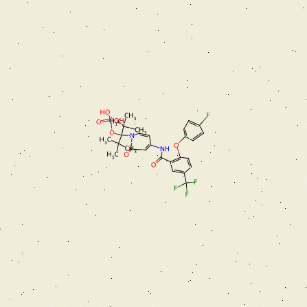 CC(C)(C)C(OP(=O)(O)O)(n1ccc(NC(=O)c2cc(C(F)(F)F)ccc2Oc2ccc(F)cc2)cc1=O)C(C)(C)C